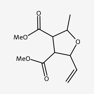 C=CC1OC(C)C(C(=O)OC)C1C(=O)OC